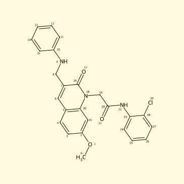 COc1ccc2cc(CNc3ccccc3)c(=O)n(CC(=O)Nc3ccccc3Cl)c2c1